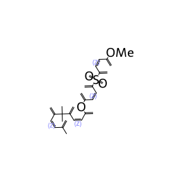 C=C(C)/C=C\C(=C)C(C)(C)C(=C)/C=C\C(=C)OC(=C)/C=C\C(=C)S(=O)(=O)C(=C)/C=C\C(=C)OC